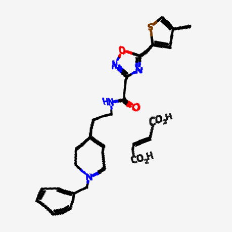 Cc1csc(-c2nc(C(=O)NCCC3CCN(Cc4ccccc4)CC3)no2)c1.O=C(O)C=CC(=O)O